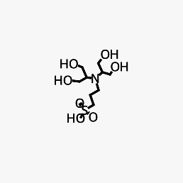 O=S(=O)(O)CCCN(C(CO)CO)C(CO)CO